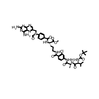 COC(=O)[C@H](CCCNC(=O)c1ccc(NC(=O)[C@H](C)NC(=O)[C@@H](NC(=O)OC(C)(C)C)C(C)C)cc1Cl)NC(=O)c1ccc(N(C=O)Cc2cnc3nc(N)nc(N)c3n2)cc1